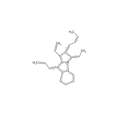 C=C/C=c1/c2ccccc2n2c(=C/C)/c(=C\C=C/C)c(C=C)c12